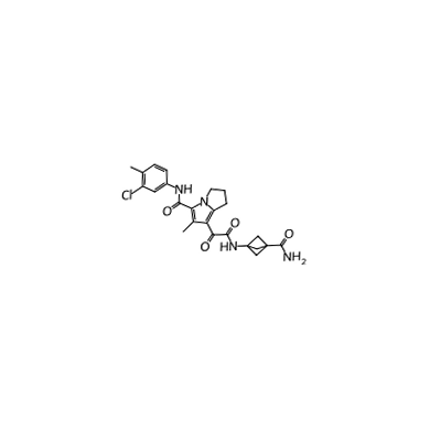 Cc1ccc(NC(=O)c2c(C)c(C(=O)C(=O)NC34CC(C(N)=O)(C3)C4)c3n2CCC3)cc1Cl